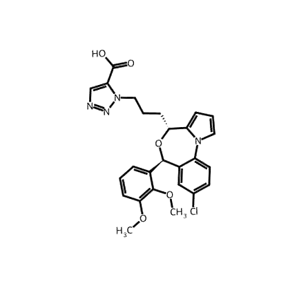 COc1cccc([C@H]2O[C@H](CCCn3nncc3C(=O)O)c3cccn3-c3ccc(Cl)cc32)c1OC